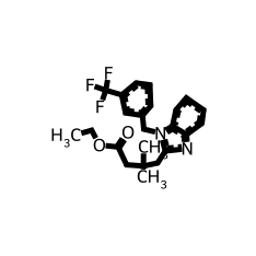 CCOC(=O)CC(C)(C)Cc1nc2ccccc2n1Cc1cccc(C(F)(F)F)c1